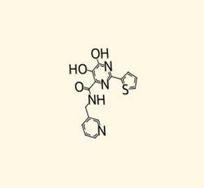 O=C(NCc1cccnc1)c1nc(-c2cccs2)nc(O)c1O